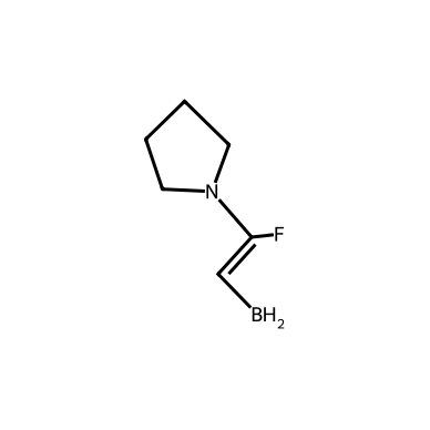 B/C=C(\F)N1CCCC1